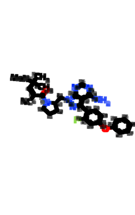 CNC(C)(C)/C=C(/C#N)C(=O)N1CCC[C@@H]1Cn1nc(-c2ccc(Oc3ccccc3)cc2F)c2c(N)ncnc21